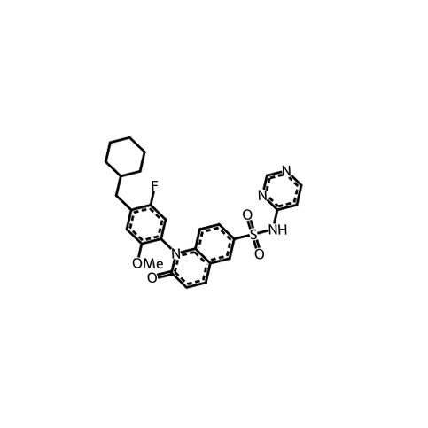 COc1cc(CC2CCCCC2)c(F)cc1-n1c(=O)ccc2cc(S(=O)(=O)Nc3ccncn3)ccc21